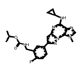 CC(C)OC(=O)NCc1cc(-c2cc3nc(NC4CC4)c4ncn(C)c4n3n2)ccc1F